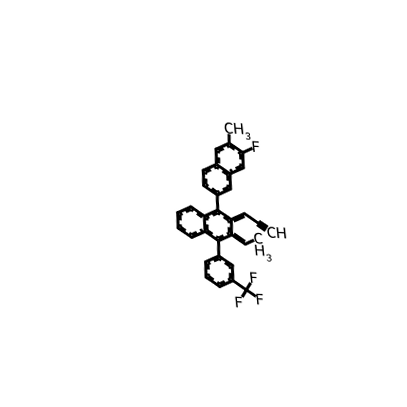 C#C/C=c1/c(-c2ccc3cc(C)c(F)cc3c2)c2ccccc2c(-c2cccc(C(F)(F)F)c2)/c1=C/C